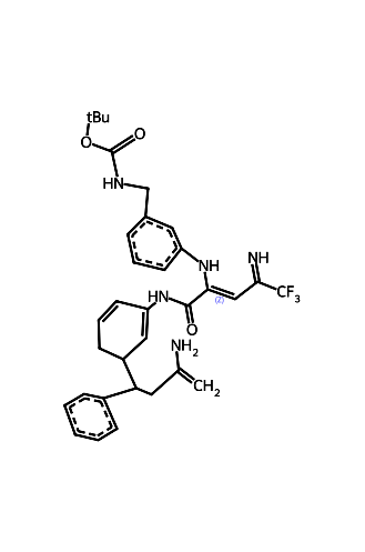 C=C(N)CC(c1ccccc1)C1C=C(NC(=O)/C(=C/C(=N)C(F)(F)F)Nc2cccc(CNC(=O)OC(C)(C)C)c2)C=CC1